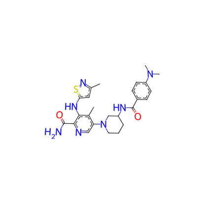 Cc1cc(Nc2c(C(N)=O)ncc(N3CCCC(NC(=O)c4ccc(N(C)C)cc4)C3)c2C)sn1